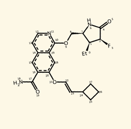 CC[C@@H]1[C@H](F)C(=O)N[C@@H]1COc1nccc2cc(C(N)=O)c(O/C=C/C3CCC3)cc12